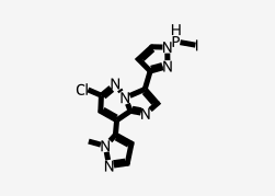 Cn1nccc1-c1cc(Cl)nn2c(-c3ccn(PI)n3)cnc12